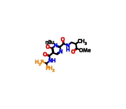 CCCCOc1nc(C(=O)NCC(C)C(=O)OC)ncc1C(=O)NC(P)P